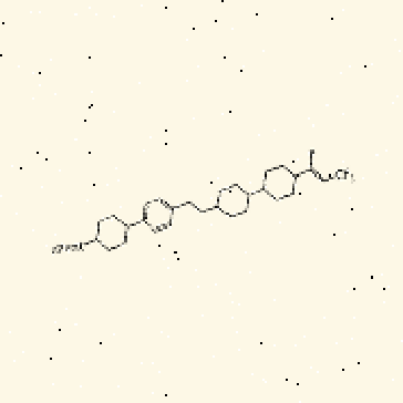 CCCCCC1CCC(c2ccc(CCC3CCC(C4CCC(/C(F)=C/C(F)(F)F)CC4)CC3)cc2)CC1